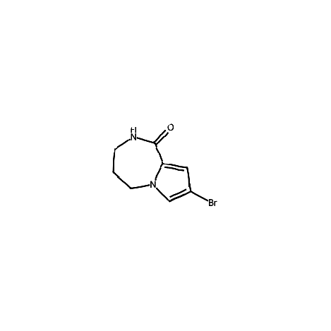 O=C1NCCCn2cc(Br)cc21